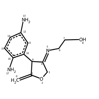 C=C1OCC(=NCCO)C1c1cc(N)ccc1N